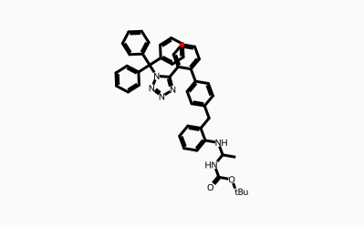 CC(NC(=O)OC(C)(C)C)Nc1ccccc1Cc1ccc(-c2ccccc2-c2nnnn2C(c2ccccc2)(c2ccccc2)c2ccccc2)cc1